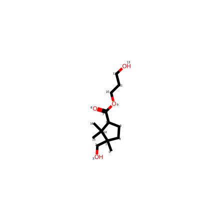 CC1(CO)CCC(C(=O)OCCCO)C1(C)C